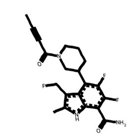 CC#CC(=O)N1CCCC(c2c(F)c(F)c(C(N)=O)c3[nH]c(C)c(CF)c23)C1